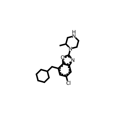 CC1CNCCN1c1nc2cc(Cl)cc(CC3CCCCC3)c2o1